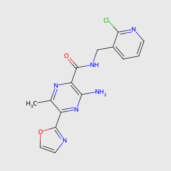 Cc1nc(C(=O)NCc2cccnc2Cl)c(N)nc1-c1ncco1